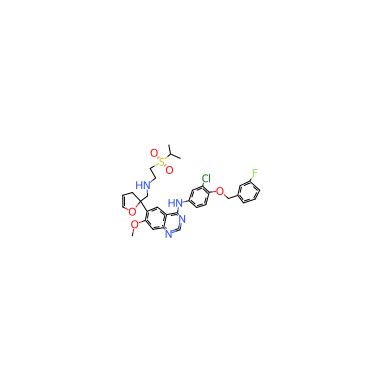 COc1cc2ncnc(Nc3ccc(OCc4cccc(F)c4)c(Cl)c3)c2cc1C1(CNCCS(=O)(=O)C(C)C)CC=CO1